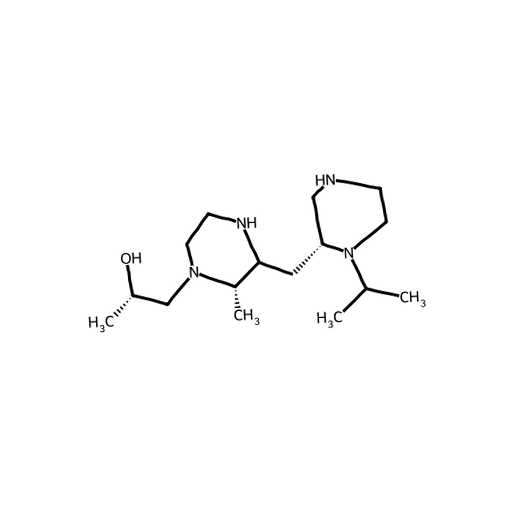 CC(C)N1CCNC[C@H]1CC1NCCN(C[C@H](C)O)[C@H]1C